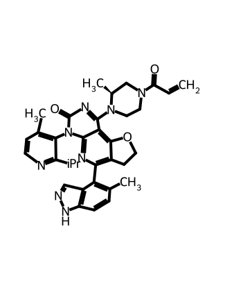 C=CC(=O)N1CCN(c2nc(=O)n(-c3c(C)ccnc3C(C)C)c3nc(-c4c(C)ccc5[nH]ncc45)c4c(c23)OCC4)[C@@H](C)C1